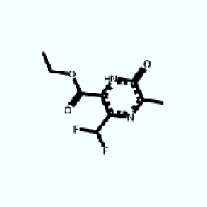 CCOC(=O)c1[nH]c(=O)c(C)nc1C(F)F